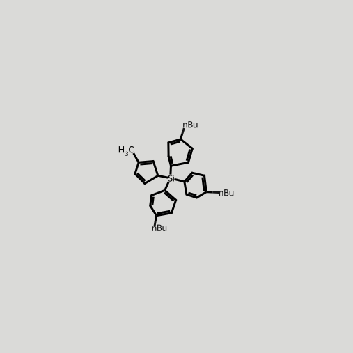 CCCCc1ccc([Si]([C]2C=CC(C)=C2)(c2ccc(CCCC)cc2)c2ccc(CCCC)cc2)cc1